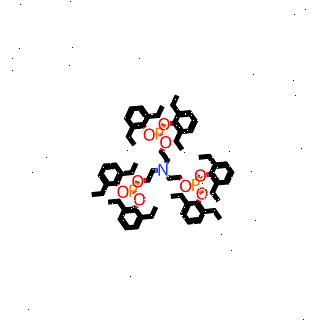 CCc1cccc(CC)c1OP(OCCN(CCOP(Oc1c(CC)cccc1CC)Oc1c(CC)cccc1CC)CCOP(Oc1c(CC)cccc1CC)Oc1c(CC)cccc1CC)Oc1c(CC)cccc1CC